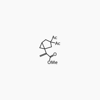 C=C(C(=O)OC)C12CC1CC(C(C)=O)(C(C)=O)C2